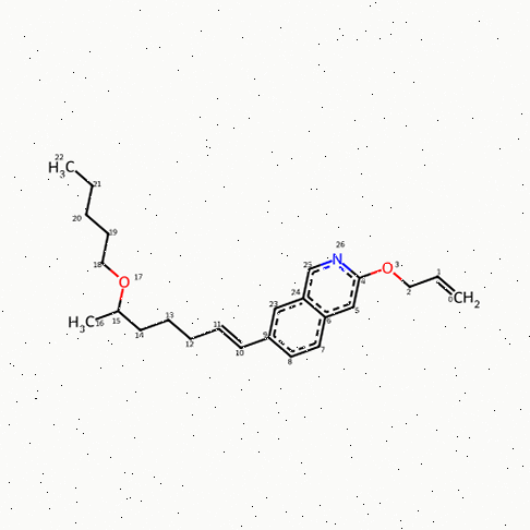 C=CCOc1cc2ccc(C=CCCCC(C)OCCCCC)cc2cn1